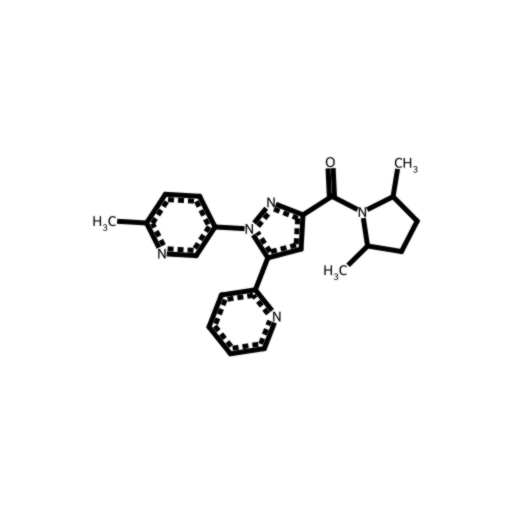 Cc1ccc(-n2nc(C(=O)N3C(C)CCC3C)cc2-c2ccccn2)cn1